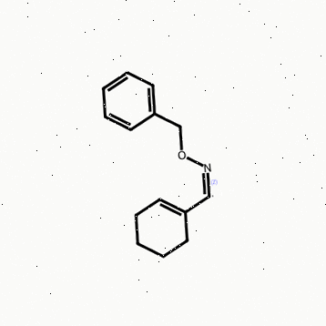 [C](=N/OCc1ccccc1)/C1=CCCCC1